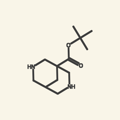 CC(C)(C)OC(=O)C12CNCC(CNC1)C2